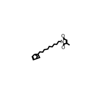 CC1=CC(=O)N(CCCCCCCCCC2CC3C=CC2C3)C1=O